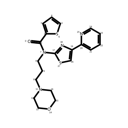 O=C(c1cccs1)N(CCCN1CCOCC1)c1nc(-c2ccccn2)cs1